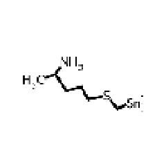 CC(N)CCCS[CH2][Sn]